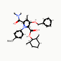 COc1ccc(-n2c(C(=O)N(C)C)c(C)c(OCc3ccccc3)c2C(=O)OC2C(C)CCCC2C)cc1